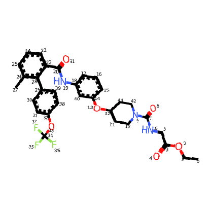 CCOC(=O)CNC(=O)N1CCC(Oc2cccc(NC(=O)c3cccc(C)c3-c3ccc(OC(F)(F)F)cc3)c2)CC1